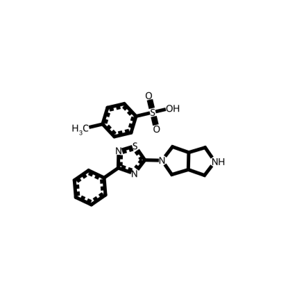 Cc1ccc(S(=O)(=O)O)cc1.c1ccc(-c2nsc(N3CC4CNCC4C3)n2)cc1